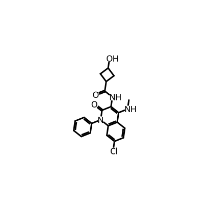 CNc1c(NC(=O)C2CC(O)C2)c(=O)n(-c2ccccc2)c2cc(Cl)ccc12